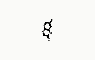 O=c1cnc2ncc(F)cc2[nH]1